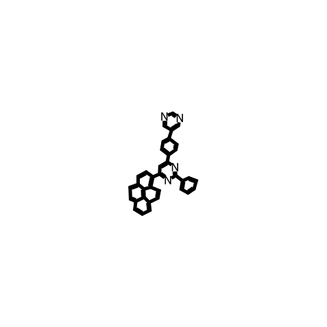 c1ccc(-c2nc(-c3ccc(-c4cncnc4)cc3)cc(-c3ccc4ccc5cccc6ccc3c4c56)n2)cc1